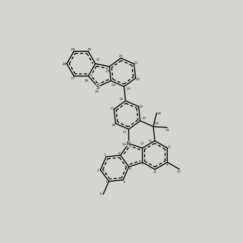 Cc1ccc2c(c1)c1cc(C)cc3c1n2-c1ccc(-c2cccc4c2sc2ccccc24)cc1C3(C)C